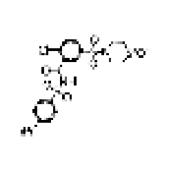 CC(C)c1ccc(S(=O)(=O)NC(=O)c2cc(S(=O)(=O)N3CC[S+]([O-])CC3)ccc2Cl)cc1